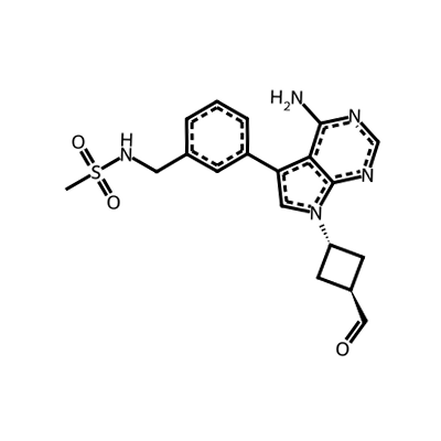 CS(=O)(=O)NCc1cccc(-c2cn([C@H]3C[C@H](C=O)C3)c3ncnc(N)c23)c1